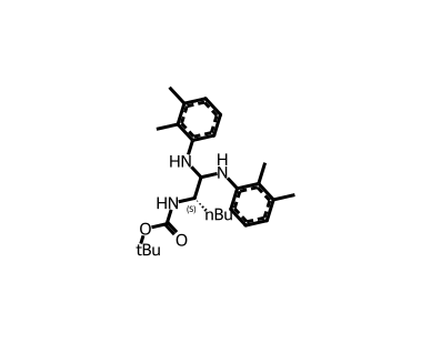 CCCC[C@H](NC(=O)OC(C)(C)C)C(Nc1cccc(C)c1C)Nc1cccc(C)c1C